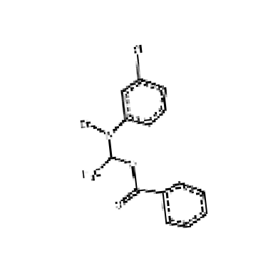 CCN(c1cccc(Cl)c1)C(C)OC(=O)c1ccccc1